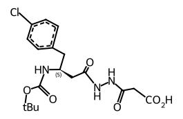 CC(C)(C)OC(=O)N[C@H](CC(=O)NNC(=O)CC(=O)O)Cc1ccc(Cl)cc1